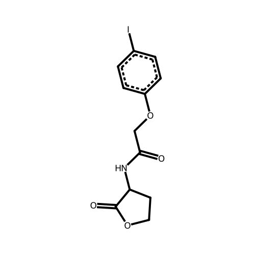 O=C(COc1ccc(I)cc1)NC1CCOC1=O